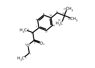 CCOC(=O)C(C)c1ccc(CC(C)(C)C)cc1